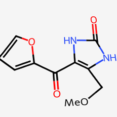 COCc1[nH]c(=O)[nH]c1C(=O)c1ccco1